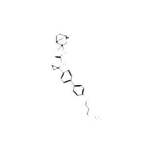 COCCCOc1ccc(-c2ccc(C3(NC(=O)NC4(C)CCN5CCC4CC5)CC3)cc2)cc1